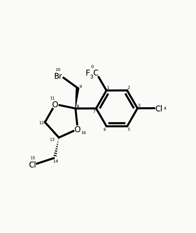 FC(F)(F)c1cc(Cl)ccc1[C@@]1(CBr)OC[C@@H](CCl)O1